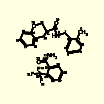 Cc1ccccc1CNC(=O)C1COc2ccccc2C1.NC(=O)c1ccccc1C(F)(F)F